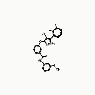 CCc1c(Oc2cccc(C(=O)Nc3cccc(SO)c3)c2)n[nH]c1-c1cccc(C)c1C